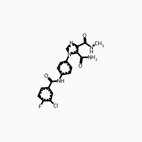 CNC(=O)c1ncn(-c2ccc(NC(=O)c3ccc(F)c(Cl)c3)cc2)c1C(N)=O